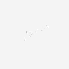 CCCCCCCCCCCCCCCCCCN.O